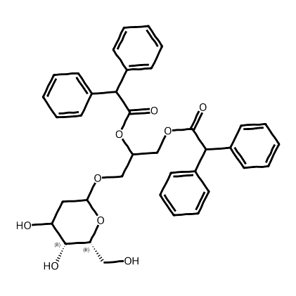 O=C(OCC(COC1CC(O)[C@@H](O)[C@@H](CO)O1)OC(=O)C(c1ccccc1)c1ccccc1)C(c1ccccc1)c1ccccc1